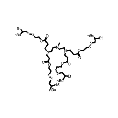 CCCCC(CC)CSSCCOC(=O)CCN(CCC(=O)OCCSSCC(CC)CCCC)CCN(C)CCN(CCC(=O)OCCSSCC(CC)CCCC)CCC(=O)OCCSSCC(CC)CCCC